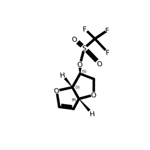 O=S(=O)(O[C@H]1CO[C@@H]2C=CO[C@H]12)C(F)(F)F